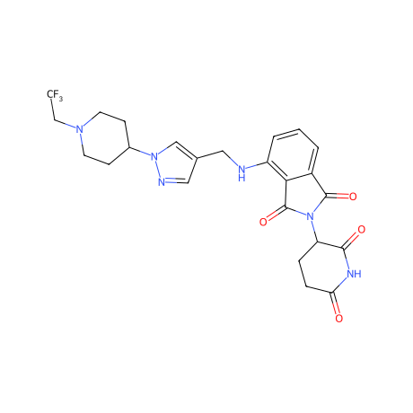 O=C1CCC(N2C(=O)c3cccc(NCc4cnn(C5CCN(CC(F)(F)F)CC5)c4)c3C2=O)C(=O)N1